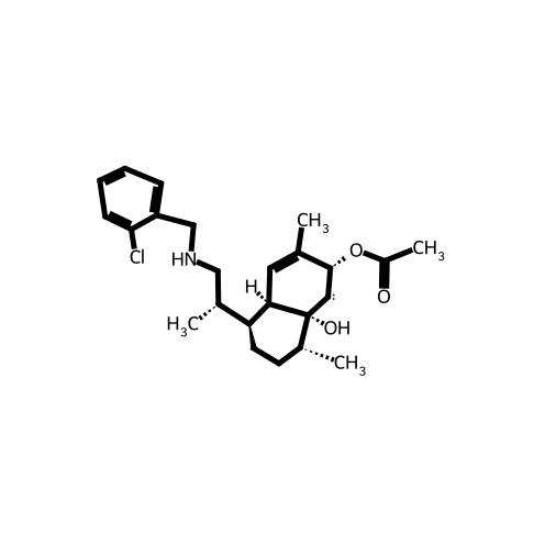 CC(=O)O[C@@H]1[C][C@@]2(O)[C@H](C)CC[C@@H]([C@H](C)CNCc3ccccc3Cl)[C@H]2C=C1C